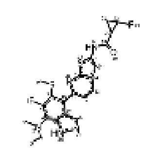 CCN(C)c1c(F)c(SC)c(-c2ccc3nc(NC(=O)C4CC4F)sc3n2)c2cn[nH]c12